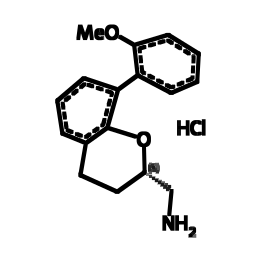 COc1ccccc1-c1cccc2c1O[C@H](CN)CC2.Cl